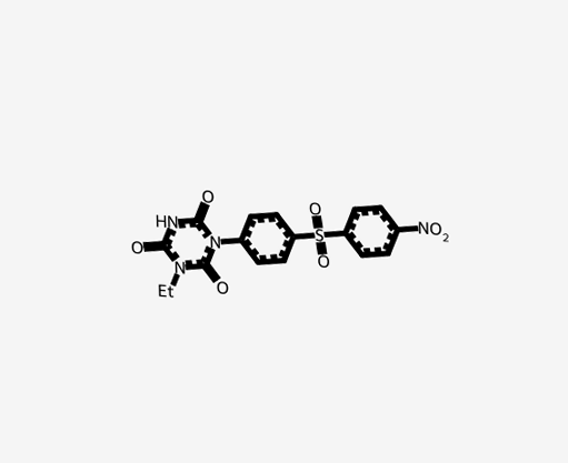 CCn1c(=O)[nH]c(=O)n(-c2ccc(S(=O)(=O)c3ccc([N+](=O)[O-])cc3)cc2)c1=O